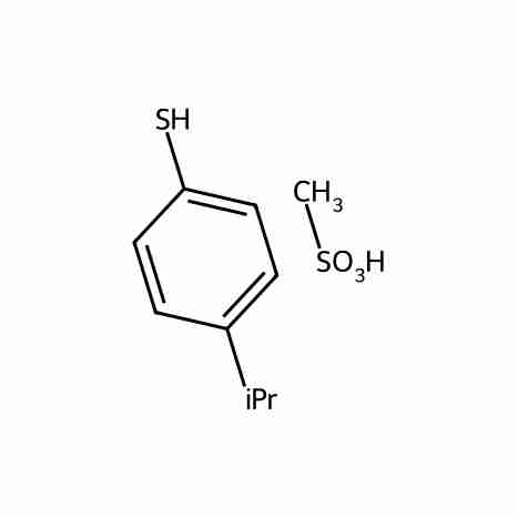 CC(C)c1ccc(S)cc1.CS(=O)(=O)O